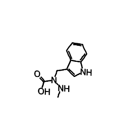 CNN(Cc1c[nH]c2ccccc12)C(=O)O